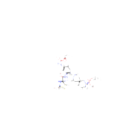 CC(C)(C)OC(=O)Nc1ccc(N2CCC3(CCCN(C(=O)OC(C)(C)C)C3)CC2)c(NC(=O)c2csc(Br)n2)c1